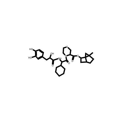 CC12CCC3CC(OC(=O)C4CSCCN4C(=O)C(NC(=O)C(O)Cc4ccc(O)c(O)c4)C4CCCCC4)C31C2